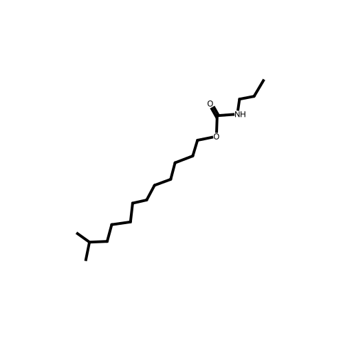 CCCNC(=O)OCCCCCCCCCCC(C)C